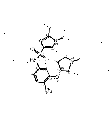 Cc1nc(S(=O)(=O)Nc2ccc(C(F)(F)F)c(O[C@@H]3CCN(C)C3)c2)cn1C